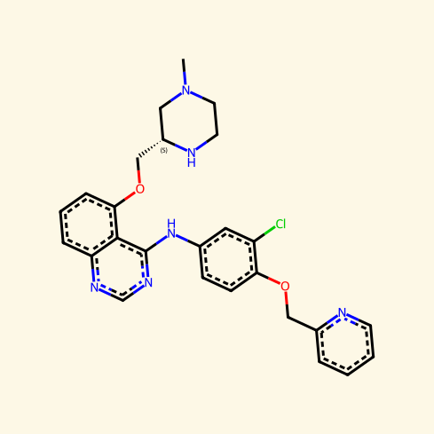 CN1CCN[C@H](COc2cccc3ncnc(Nc4ccc(OCc5ccccn5)c(Cl)c4)c23)C1